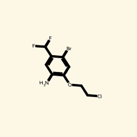 Nc1cc(C(F)F)c(Br)cc1OCCCl